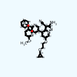 COc1ccc(CN2C3CC2CN(c2ccc(-c4cc(OCCOC5CC5)cn5nc(N)c(C#N)c45)cn2)C3)cn1